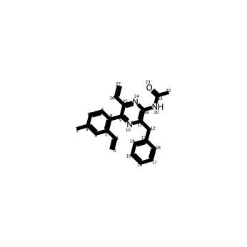 C=Cc1cc(C)ccc1-c1nc(Cc2ccccc2)c(NC(C)=O)nc1C=C